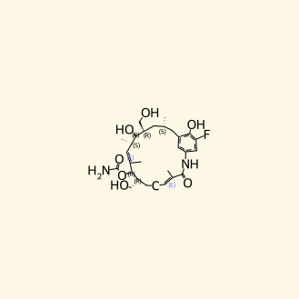 C/C1=C\CC[C@H](CO)[C@@H](OC(N)=O)/C(C)=C/[C@H](C)[C@@H](O)[C@@H](CO)C[C@H](C)Cc2cc(cc(F)c2O)NC1=O